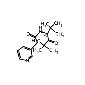 CC(C)(C)C(=O)[C@@H](NC(=O)Cc1cccnc1)C(C)(C)C